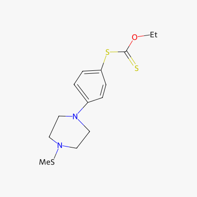 CCOC(=S)Sc1ccc(N2CCN(SC)CC2)cc1